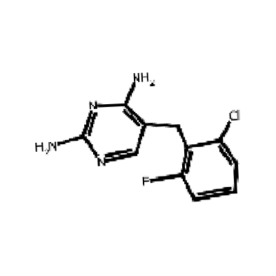 Nc1ncc(Cc2c(F)cccc2Cl)c(N)n1